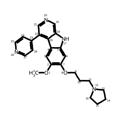 COc1cc2c(cc1OCCCN1CCCC1)[nH]c1cncc(-c3ccncc3)c12